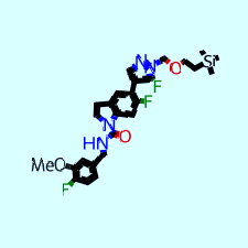 COc1cc(CNC(=O)N2CCc3cc(-c4cnn(COCC[Si](C)(C)C)c4F)c(F)cc32)ccc1F